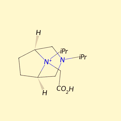 CC(C)N1C[C@H]2CC[C@@H](C1)[N+]2(CC(=O)O)C(C)C